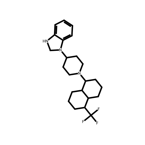 FC(F)(F)C1CCCC2C1CCCC2N1CCC(N2[CH]Nc3ccccc32)CC1